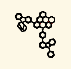 c1ccc(-n2c3ccccc3c3c(-c4ccc(N(c5ccc(-c6ccc7c(c6)C6(c8ccccc8-7)C7CC8CC(C7)CC6C8)cc5)c5ccccc5-c5cccc6cccc(C7CCCCC7)c56)cc4)cccc32)cc1